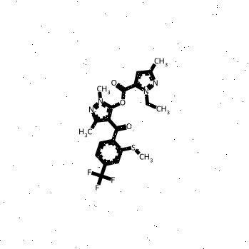 CCn1nc(C)cc1C(=O)Oc1c(C(=O)c2ccc(C(F)(F)F)cc2SC)c(C)nn1C